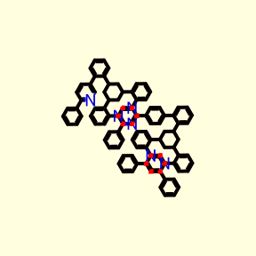 c1ccc(-c2ccc(-c3ccccc3C3CC(c4ccccc4-c4ccc(-c5ncc(-c6ccccc6C6CC(c7ccccc7-c7ccc(-c8ccccc8)nc7)CC(c7ccccc7-c7ccc(-c8ccccc8)nc7)C6)cn5)cc4)CC(c4ccccc4-c4ccc(-c5ccccc5)nc4)C3)cn2)cc1